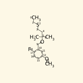 CCSCCC(C)(C)OCc1cc(OC)ccc1F